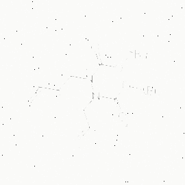 C=CCCN(C(=O)OC(C)(C)C)N(CC=C)C(=O)OC(C)(C)C